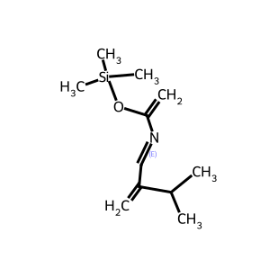 C=C(/N=C/C(=C)C(C)C)O[Si](C)(C)C